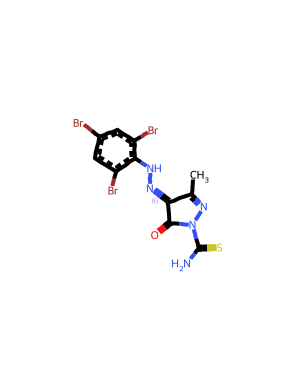 CC1=NN(C(N)=S)C(=O)/C1=N/Nc1c(Br)cc(Br)cc1Br